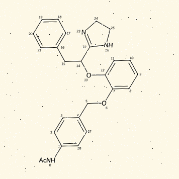 CC(=O)Nc1ccc(COc2ccccc2OC(Cc2ccccc2)C2=NCCN2)cc1